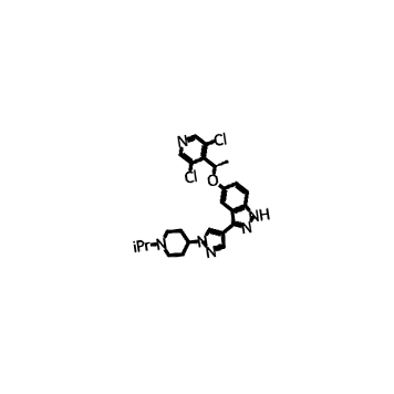 CC(C)N1CCC(n2cc(-c3n[nH]c4ccc(O[C@H](C)c5c(Cl)cncc5Cl)cc34)cn2)CC1